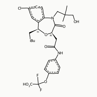 CCC(C)C[C@@H]1O[C@H](CC(=O)Nc2ccc(OC(F)(F)C(=O)O)cc2)C(=O)N(CC(C)(C)CO)c2ccc(Cl)cc21